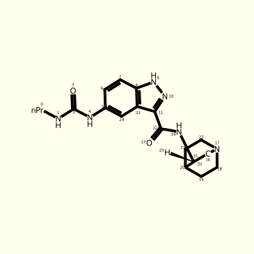 CCCNC(=O)Nc1ccc2[nH]nc(C(=O)N[C@@H]3CN4CCC3CC4)c2c1